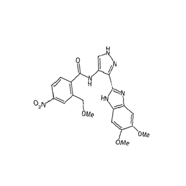 COCc1cc([N+](=O)[O-])ccc1C(=O)Nc1c[nH]nc1-c1nc2cc(OC)c(OC)cc2[nH]1